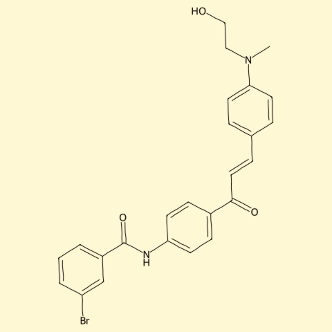 CN(CCO)c1ccc(/C=C/C(=O)c2ccc(NC(=O)c3cccc(Br)c3)cc2)cc1